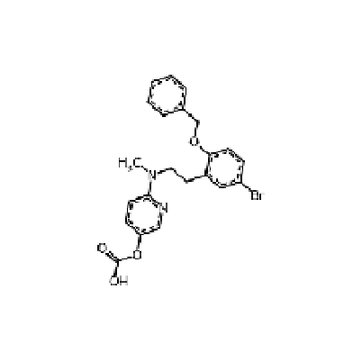 CN(CCc1cc(Br)ccc1OCc1ccccc1)c1ccc(OC(=O)O)cn1